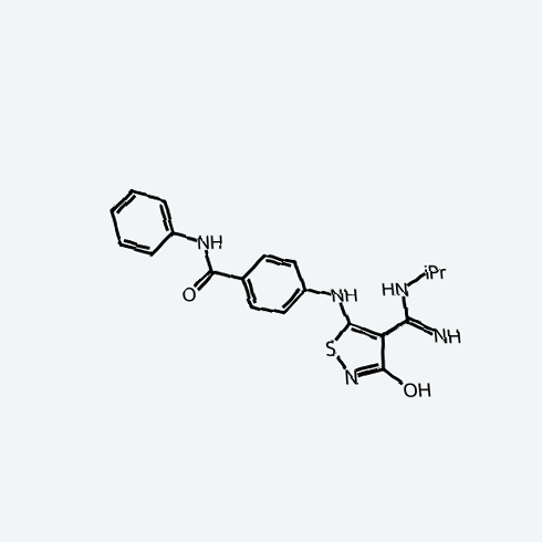 CC(C)NC(=N)c1c(O)nsc1Nc1ccc(C(=O)Nc2ccccc2)cc1